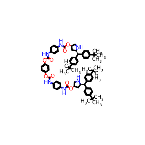 CC(C)(C)c1ccc(C(c2ccc(C(C)(C)C)cc2)[C@H]2C[C@@H](OC(=O)Nc3ccc(NC(=O)Oc4ccc(OC(=O)Nc5ccc(NC(=O)O[C@H]6CN[C@@H](C(c7ccc(C(C)(C)C)cc7)c7ccc(C(C)(C)C)cc7)C6)cc5)cc4)cc3)CN2)cc1